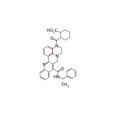 C[C@H](NC(=O)c1c(CN2CCN(C(=O)C3CCCCC3C(=O)O)CC2)c(-c2ccccc2)nc2ccccc12)c1ccccc1